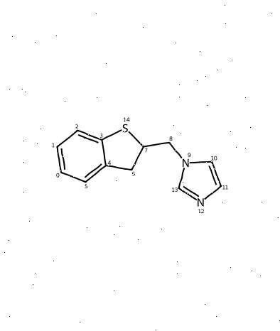 c1ccc2c(c1)CC(Cn1ccnc1)S2